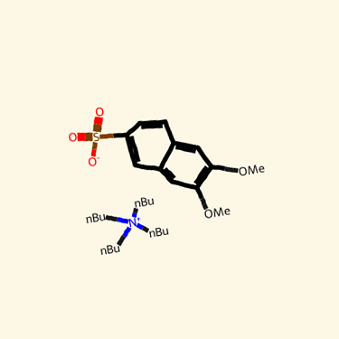 CCCC[N+](CCCC)(CCCC)CCCC.COc1cc2ccc(S(=O)(=O)[O-])cc2cc1OC